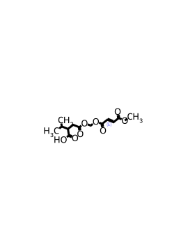 COC(=O)/C=C/C(=O)OCOC(=O)CC(C(=O)O)C(C)C